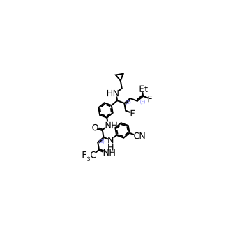 CC/C(F)=C\C=C(/CF)C(NCC1CC1)c1cccc(NC(=O)/C(=C/C(=N)C(F)(F)F)Nc2cccc(C#N)c2)c1